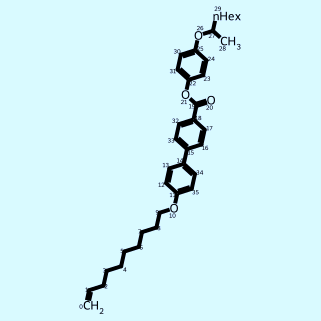 C=CCCCCCCCCOc1ccc(-c2ccc(C(=O)Oc3ccc(OC(C)CCCCCC)cc3)cc2)cc1